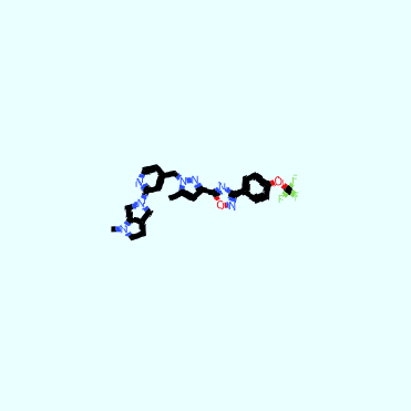 Cc1cc(-c2nc(-c3ccc(OC(F)(F)F)cc3)no2)nn1Cc1ccnc(N2CC3CCN(C)C3C2)c1